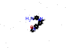 Cc1nn(-c2cccc(CN)c2)c2cc(-c3ccc(N4CCCC4=O)cc3)ccc12